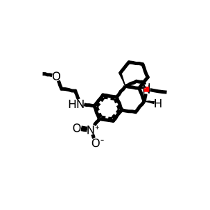 COCCNc1cc2c(cc1[N+](=O)[O-])C[C@@H]1[C@@H]3CCCC[C@]23CCN1C